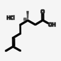 CC(C)=CCC[C@H](C)CC(=O)O.Cl